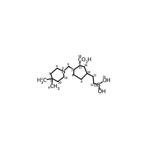 CC1(C)CCN(C[C@@H]2CCC(CCB(O)O)C[C@@H]2C(=O)O)CC1